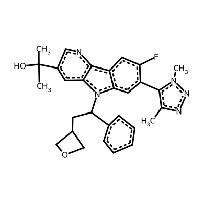 Cc1nnn(C)c1-c1cc2c(cc1F)c1ncc(C(C)(C)O)cc1n2C(CC1COC1)c1ccccc1